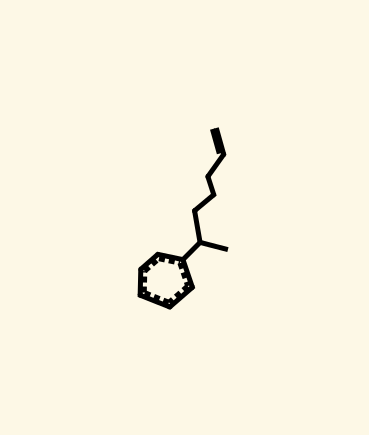 C=CCCCC(C)c1ccccc1